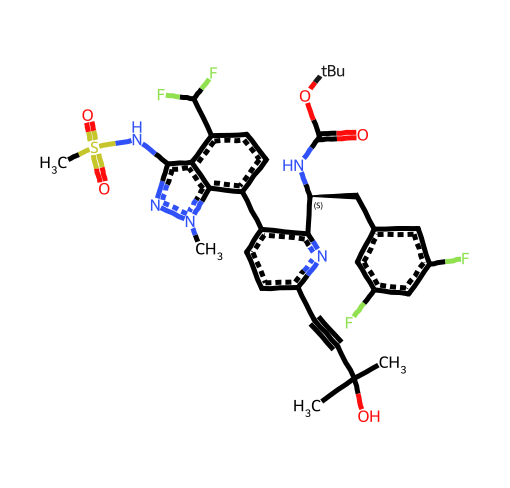 Cn1nc(NS(C)(=O)=O)c2c(C(F)F)ccc(-c3ccc(C#CC(C)(C)O)nc3[C@H](Cc3cc(F)cc(F)c3)NC(=O)OC(C)(C)C)c21